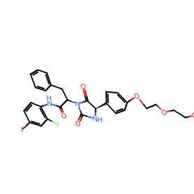 COCCOCCOc1ccc([C@H]2NC(=O)N(C(Cc3ccccc3)C(=O)Nc3ccc(I)cc3F)C2=O)cc1